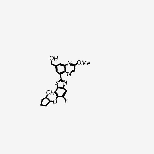 COc1cnc2c(-c3nc4cc(F)c(OC5CCCC5O)cc4s3)cc(CO)cc2n1